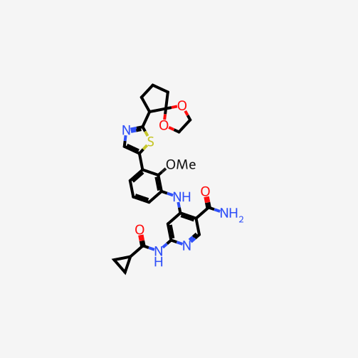 COc1c(Nc2cc(NC(=O)C3CC3)ncc2C(N)=O)cccc1-c1cnc(C2CCCC23OCCO3)s1